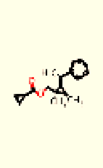 CC1C([C@@H](C)c2ccccc2)[C@]1(C)COC(=O)C1CC1